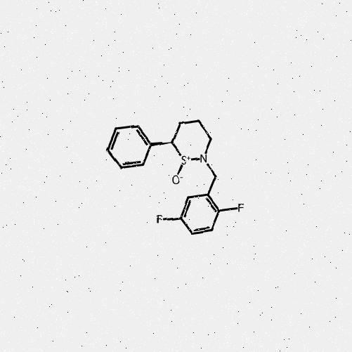 [O-][S+]1[C@@H](c2ccccc2)CCCN1Cc1cc(F)ccc1F